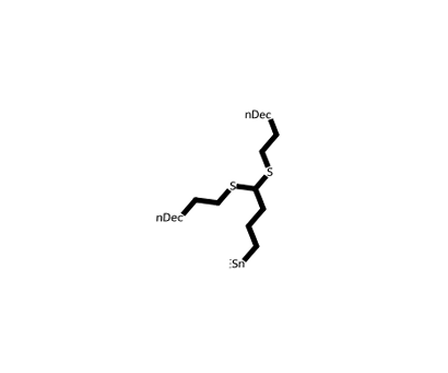 CCCCCCCCCCCCSC(CC[CH2][Sn])SCCCCCCCCCCCC